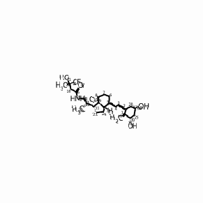 C=C1/C(=C\C=C2/CCC[C@]3(C)[C@@H]([C@H](C)CNC(=O)C[C@](C)(O)C(F)(F)F)CC[C@@H]23)C[C@@H](O)C[C@@H]1O